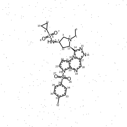 CCN1C[C@H](NS(=O)(=O)C2CC2)C[C@@H]1c1nnc2cnc3c(ccn3S(=O)(=O)c3ccc(C)cc3)n12